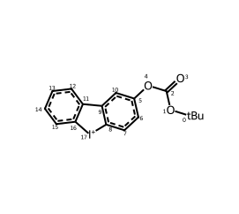 CC(C)(C)OC(=O)Oc1ccc2c(c1)-c1ccccc1[I+]2